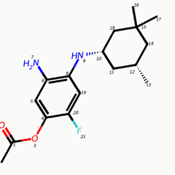 CC(=O)Oc1cc(N)c(N[C@H]2C[C@@H](C)CC(C)(C)C2)cc1F